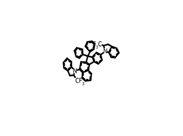 FC(F)(F)C1Cc2ccccc2N1c1ccc2c(c1)C(c1ccccc1)(c1ccccc1)c1cc(N3c4ccccc4CC3C(F)(F)F)c3ccccc3c1-2